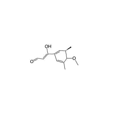 COC1C(C)=CC(/C(O)=C/C=O)=C[C@H]1C